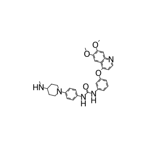 CNC1CCN(c2ccc(NC(=O)Nc3cccc(Oc4ccnc5cc(OC)c(OC)cc45)c3)cc2)CC1